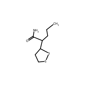 CCCC(C(N)=O)C1CCSS1